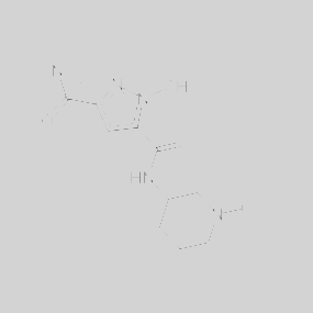 CN1CCCC(NC(=O)c2[c]c(C(N)=O)nn2C)C1